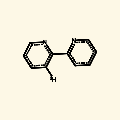 [2H]c1cccnc1-c1ccccn1